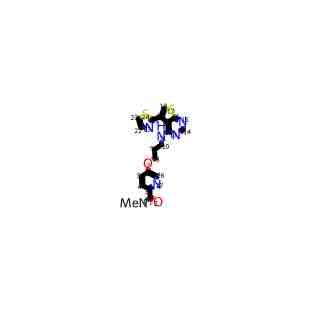 CNC(=O)c1ccc(OCCCNc2ncnc3scc(-c4nccs4)c23)cn1